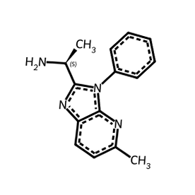 Cc1ccc2nc([C@H](C)N)n(-c3ccccc3)c2n1